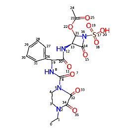 CCN1CCN(C(=O)NC(C(=O)N[C@@H]2C(=O)N(S(=O)(=O)O)C2OC(C)=O)c2ccccc2)C(=O)C1=O